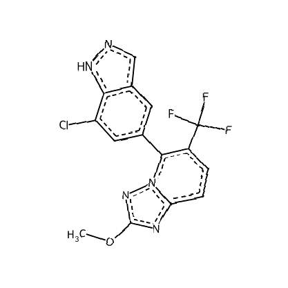 COc1nc2ccc(C(F)(F)F)c(-c3cc(Cl)c4[nH]ncc4c3)n2n1